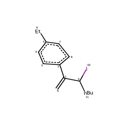 C=C(c1ccc(CC)cc1)C(I)CCCC